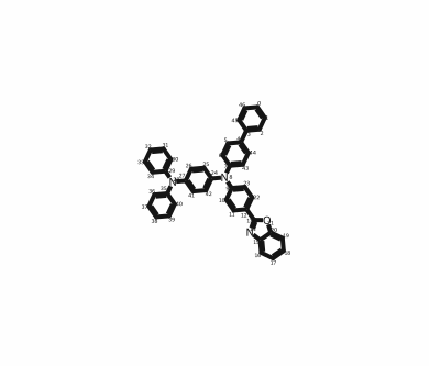 c1ccc(-c2ccc(N(c3ccc(-c4nc5ccccc5o4)cc3)c3ccc(N(c4ccccc4)c4ccccc4)cc3)cc2)cc1